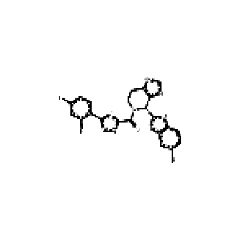 O=C(c1nnc(-c2ccc(F)cc2F)o1)N1CCc2[nH]cnc2[C@H]1c1nc2cc(F)ccc2o1